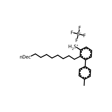 CCCCCCCCCCCCCCCCCCc1c([SH2+])cccc1-c1ccc(C)cc1.F[B-](F)(F)F